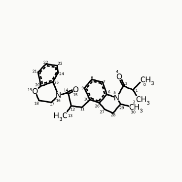 CC(C)C(=O)N1c2cccc(CC(C)C(=O)N3CCOc4ccccc43)c2CCC1C